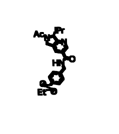 CCS(=O)(=O)c1ccc(CNC(=O)c2cnc3c(c2)CN(C(C)=O)[C@H]3C(C)C)cc1